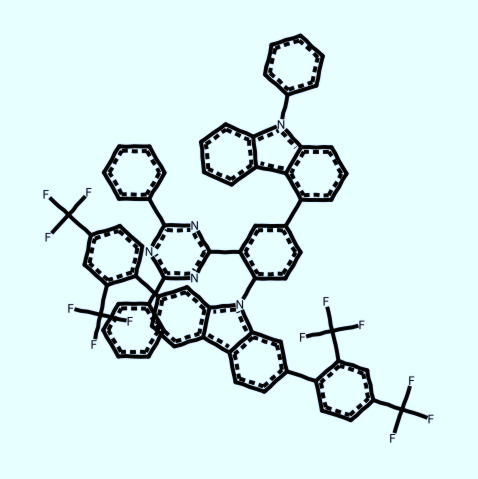 FC(F)(F)c1ccc(-c2ccc3c4ccc(-c5ccc(C(F)(F)F)cc5C(F)(F)F)cc4n(-c4ccc(-c5cccc6c5c5ccccc5n6-c5ccccc5)cc4-c4nc(-c5ccccc5)nc(-c5ccccc5)n4)c3c2)c(C(F)(F)F)c1